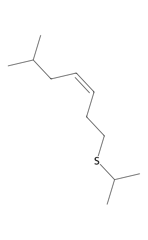 CC(C)C/C=C\CCSC(C)C